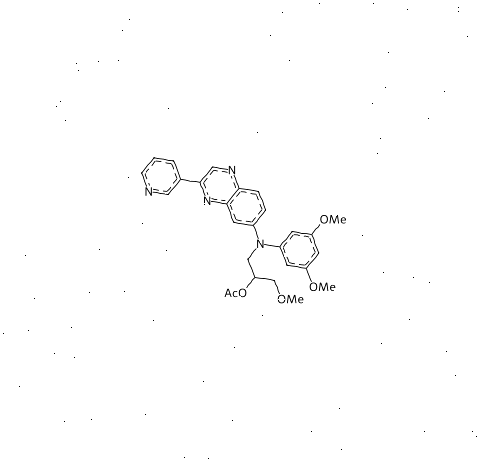 COCC(CN(c1cc(OC)cc(OC)c1)c1ccc2ncc(-c3cccnc3)nc2c1)OC(C)=O